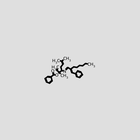 C=CC(C)(OC(=O)c1ccccc1)C(CC=C(C)C)N=CC(=Cc1ccccc1)CCCCCC